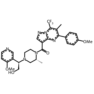 COc1ccc(-c2nc3c(C(=O)N4CCN([C@@H](CO)c5cnccc5OC)C[C@H]4C)cnn3c(C(F)(F)F)c2C)cc1